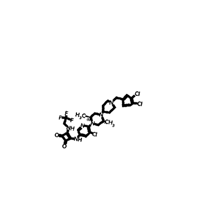 C[C@@H]1CN(c2ncc(Nc3c(NCC(F)(F)F)c(=O)c3=O)cc2Cl)[C@@H](C)CN1C1CCN(Cc2ccc(Cl)c(Cl)c2)CC1